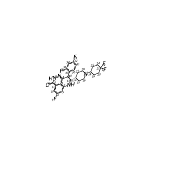 O=c1[nH]nc2c3c(cc(F)cc13)N[C@@H](C1CCN(C3CCC(F)(F)CC3)CC1)[C@@H]2c1ccc(F)cc1F